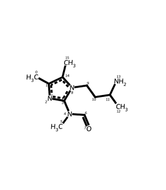 Cc1nc(N(C)C=O)n(CCC(C)N)c1C